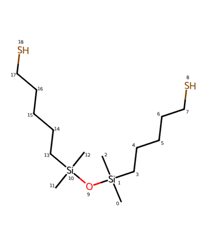 C[Si](C)(CCCCCS)O[Si](C)(C)CCCCCS